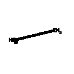 CCCCCCCCCCCCCCCCCCCCCCCCCCCCCC=CC=CC(=O)O